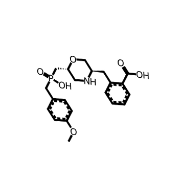 COc1ccc(CP(=O)(O)C[C@H]2CN[C@H](Cc3ccccc3C(=O)O)CO2)cc1